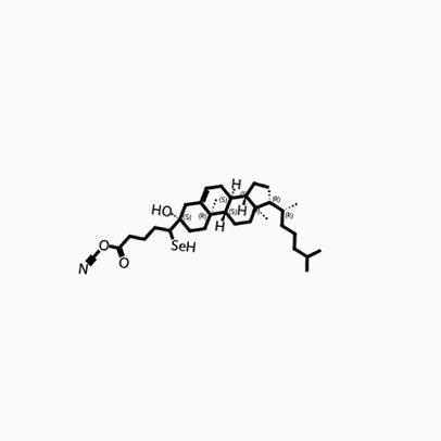 CC(C)CCC[C@@H](C)[C@H]1CC[C@H]2[C@@H]3CC=C4C[C@](O)(C([SeH])CCCC(=O)OC#N)CC[C@]4(C)[C@H]3CC[C@]12C